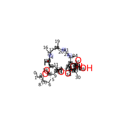 CC[C@H]1O[C@]2(CC[C@@H]1C)C[C@@H]1C[C@@H](C/C=C(\C)C[C@@H](C)/C=C/C=C3\CO[C@@H]4[C@H](O)C(C)=C[C@@H](C(=O)O1)[C@]34O)O2